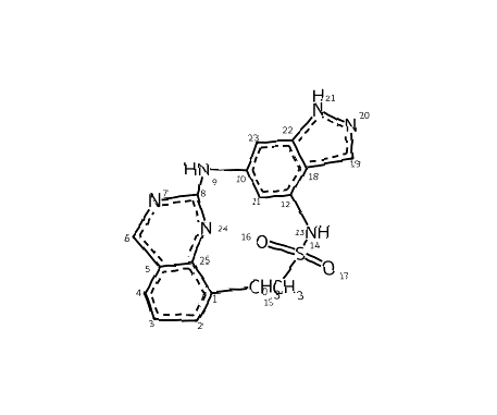 Cc1cccc2cnc(Nc3cc(NS(C)(=O)=O)c4cn[nH]c4c3)nc12